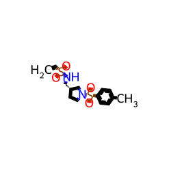 C=CS(=O)(=O)NC[C@H]1CCN(S(=O)(=O)c2ccc(C)cc2)C1